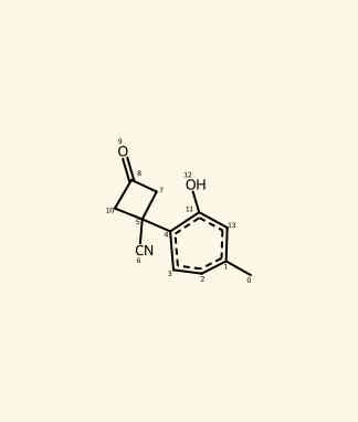 Cc1ccc(C2(C#N)CC(=O)C2)c(O)c1